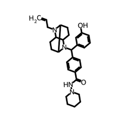 C=CCN1C2CCC3C1CCC2N3C(c1ccc(C(=O)NN2CCCCC2)cc1)c1cccc(O)c1